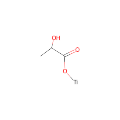 CC(O)C(=O)[O][Ti]